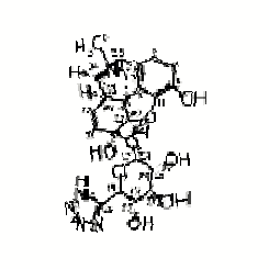 CN1CC[C@]23c4c5ccc(O)c4O[C@H]2[C@@](O)(O[C@@H]2OC(c4nnn[nH]4)[C@@H](O)[C@H](O)[C@H]2O)C=C[C@H]3[C@H]1C5